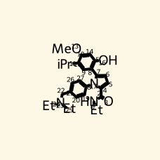 CCNC(=O)c1ccc(-c2cc(C(C)C)c(OC)cc2O)n1-c1ccc(CN(CC)CC)cc1